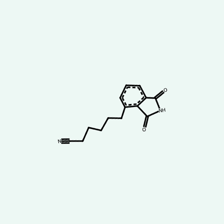 N#CCCCCCc1cccc2c1C(=O)NC2=O